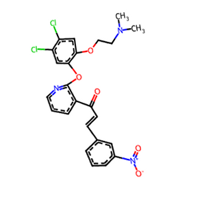 CN(C)CCOc1cc(Cl)c(Cl)cc1Oc1ncccc1C(=O)/C=C/c1cccc([N+](=O)[O-])c1